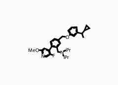 [CH2]C(c1cccc(OCc2ccc(-c3cc(OC)ncc3F)c(CN(C(C)C)C(C)C)c2)c1)C1CC1